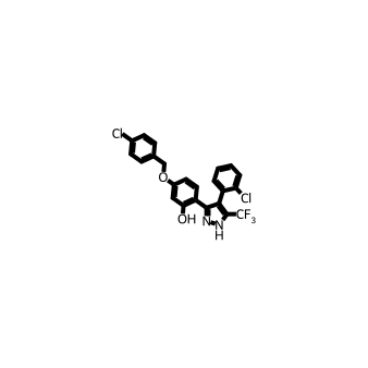 Oc1cc(OCc2ccc(Cl)cc2)ccc1-c1n[nH]c(C(F)(F)F)c1-c1ccccc1Cl